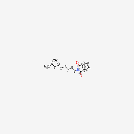 CC(C)CCCCCCCN1C(=O)C2C3C=CC(C3)C2C1=O